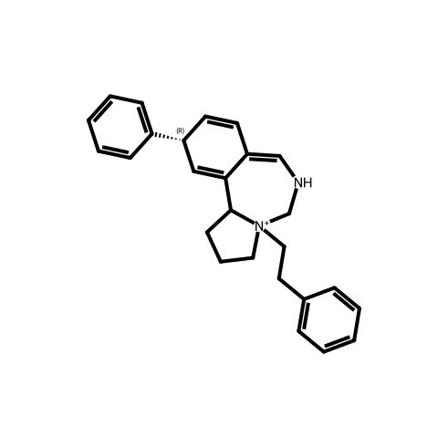 C1=C[C@@H](c2ccccc2)C=C2C1=CNC[N+]1(CCc3ccccc3)CCCC21